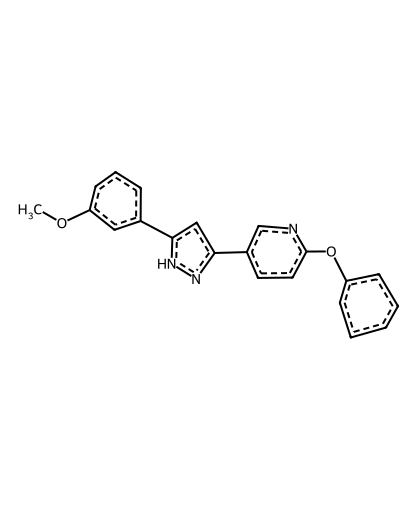 COc1cccc(-c2cc(-c3ccc(Oc4ccccc4)nc3)n[nH]2)c1